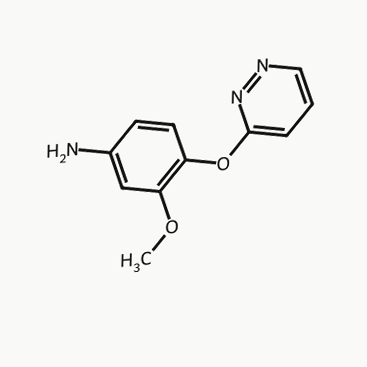 COc1cc(N)ccc1Oc1cccnn1